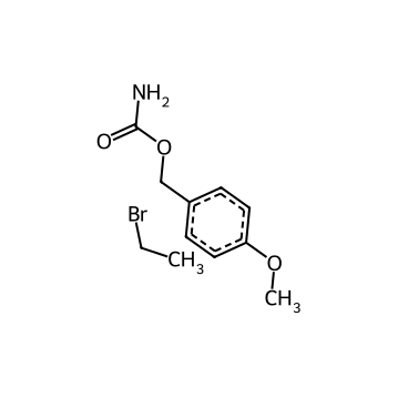 CCBr.COc1ccc(COC(N)=O)cc1